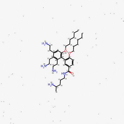 CCCCCCOc1ccc(C(=O)NCCCC(C)N)cc1-c1c(OCCCCCC)cc(CCN)c(CCN)c1CCN